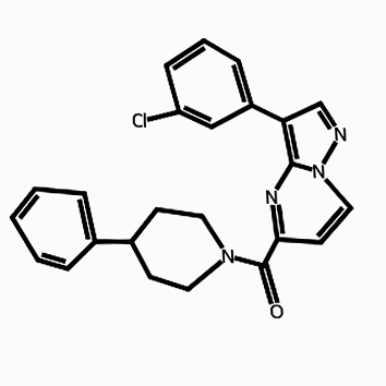 O=C(c1ccn2ncc(-c3cccc(Cl)c3)c2n1)N1CCC(c2ccccc2)CC1